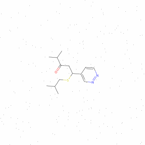 CC(C)CSC(CC(=O)C(C)C)c1ccnnc1